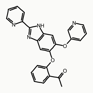 CC(=O)c1ccccc1Oc1cc2nc(-c3ccccn3)[nH]c2cc1Oc1cccnc1